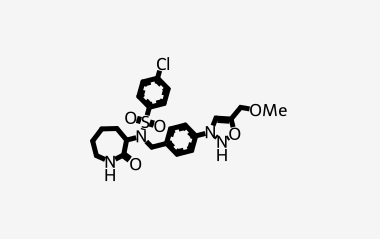 COCC1=CN(c2ccc(CN(C3CCCCNC3=O)S(=O)(=O)c3ccc(Cl)cc3)cc2)NO1